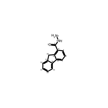 NNC(=O)c1cccc2c1Cc1ccccc1-2